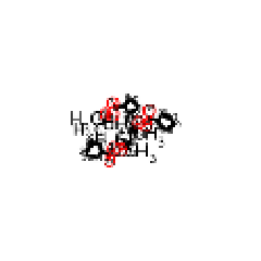 CC(C)(C)OOC(=O)c1ccccc1.CC(C)(CCC(C)(C)OOC(=O)c1ccccc1)OOC(=O)c1ccccc1